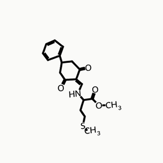 COC(=O)C(CCSC)NC=C1C(=O)CC(c2ccccc2)CC1=O